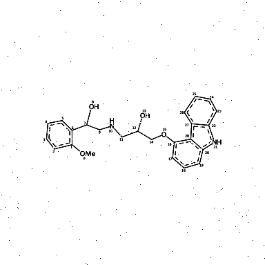 COc1ccccc1C(O)CNCC(O)COc1cccc2[nH]c3ccccc3c12